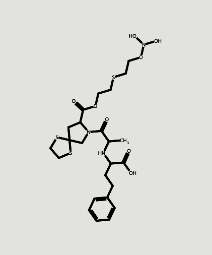 CC(NC(CCc1ccccc1)C(=O)O)C(=O)N1CC2(CC1C(=O)OCCSCCON(O)O)SCCS2